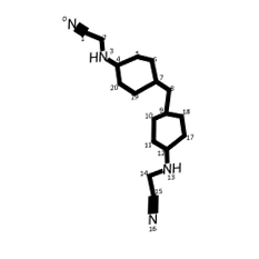 N#CCNC1CCC(CC2CCC(NCC#N)CC2)CC1